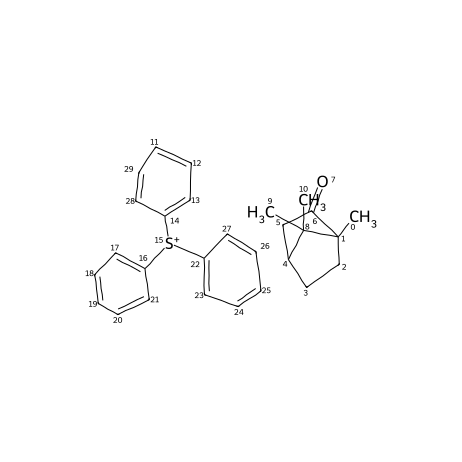 CC12CCC(CC1=O)C2(C)C.c1ccc([S+](c2ccccc2)c2ccccc2)cc1